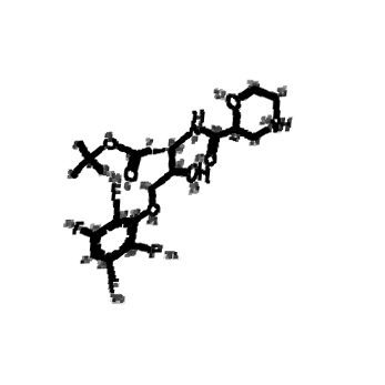 CC(C)(C)OC(=O)C[C@H](NC(=O)C1CNCCO1)C(O)COc1c(F)c(F)cc(F)c1F